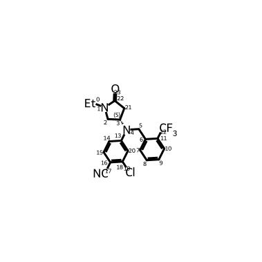 CCN1C[C@@H](N(Cc2ccccc2C(F)(F)F)c2ccc(C#N)c(Cl)c2)CC1=O